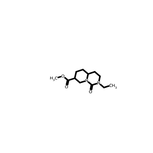 CCN1CCC2CCC(C(=O)OC)CN2C1=O